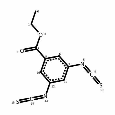 CCOC(=O)c1cc(N=C=S)cc(N=C=S)c1